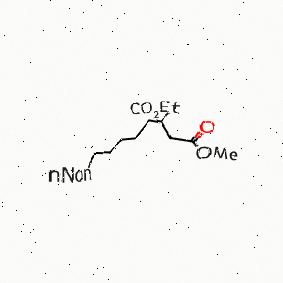 CCCCCCCCCCCCCCC(CC(=O)OC)C(=O)OCC